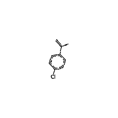 C=C(C)c1ccc(Cl)cc1